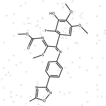 COC(=O)/N=C(SC)/C(=N\c1ccc(-c2noc(C)n2)cc1)c1cc(OC)c(OC)c(O)c1F